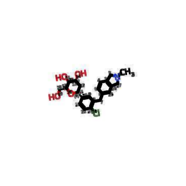 CN1Cc2ccc(Cc3cc([C@H]4C[C@@H](O)[C@H](O)[C@@H](CO)O4)ccc3Cl)cc2C1